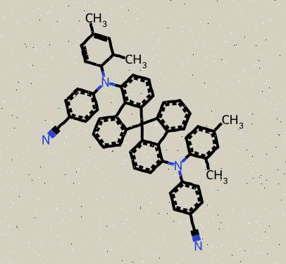 CC1=CC(C)C(N(c2ccc(C#N)cc2)c2cccc3c2-c2ccccc2C32c3ccccc3-c3c(N(c4ccc(C#N)cc4)c4ccc(C)cc4C)cccc32)C=C1